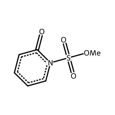 COS(=O)(=O)n1ccccc1=O